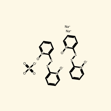 O=S(=O)([O-])[O-].[Na+].[Na+].[O-][n+]1ccccc1SSc1cccc[n+]1[O-].[O-][n+]1ccccc1SSc1cccc[n+]1[O-]